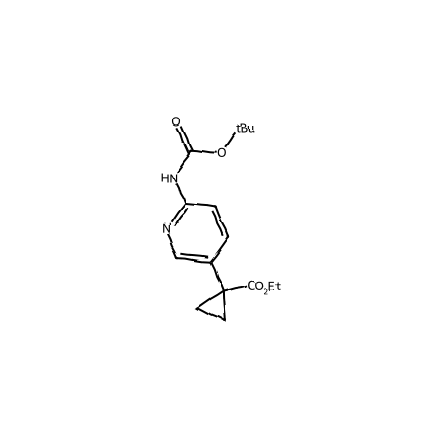 CCOC(=O)C1(c2ccc(NC(=O)OC(C)(C)C)nc2)CC1